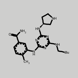 CCC(C)CNc1nc(Nc2cc(C(N)=O)ccc2C)nc(N[C@H]2CCNC2)n1